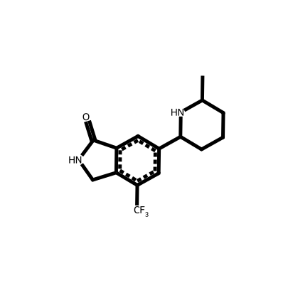 CC1CCCC(c2cc3c(c(C(F)(F)F)c2)CNC3=O)N1